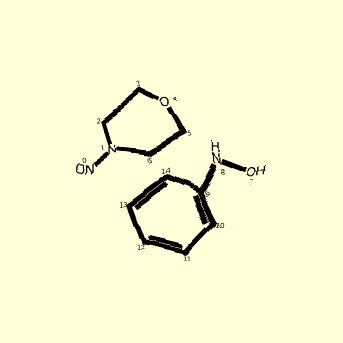 O=NN1CCOCC1.ONc1ccccc1